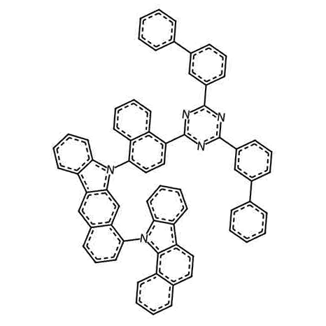 c1ccc(-c2cccc(-c3nc(-c4cccc(-c5ccccc5)c4)nc(-c4ccc(-n5c6ccccc6c6cc7cccc(-n8c9ccccc9c9ccc%10ccccc%10c98)c7cc65)c5ccccc45)n3)c2)cc1